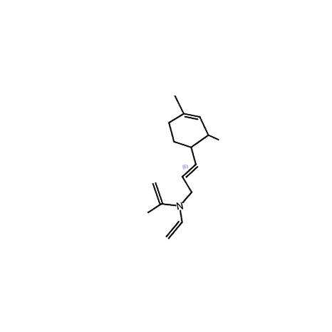 C=CN(C/C=C/C1CCC(C)=CC1C)C(=C)C